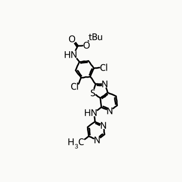 Cc1cc(Nc2nccc3nc(-c4c(Cl)cc(NC(=O)OC(C)(C)C)cc4Cl)sc23)ncn1